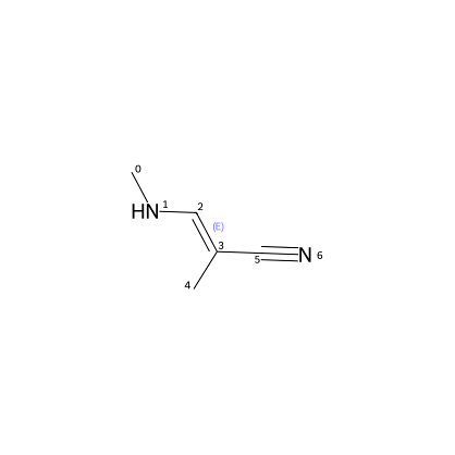 CN/C=C(\C)C#N